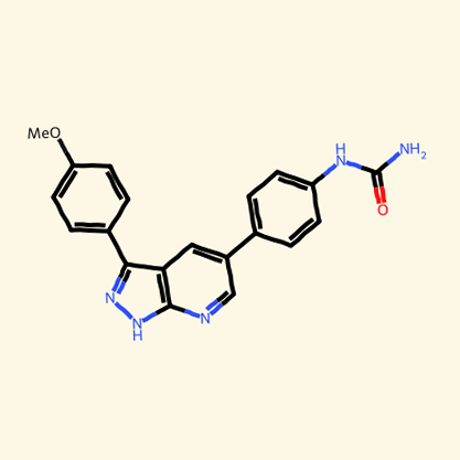 COc1ccc(-c2n[nH]c3ncc(-c4ccc(NC(N)=O)cc4)cc23)cc1